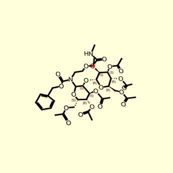 CCOCCN(C(=O)OCc1ccccc1)C1O[C@@H](COC(C)=O)[C@@H](OC(C)=O)[C@H](OC(C)=O)[C@@H]1O[C@H]1O[C@H](COC(C)=O)[C@@H](OC(C)=O)[C@H](OC(C)=O)[C@@H]1OC(=O)NC